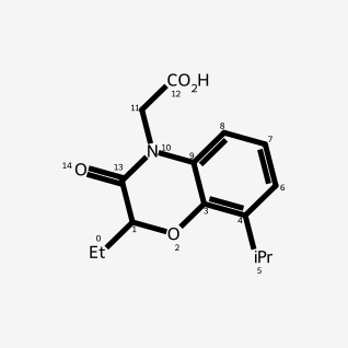 CCC1Oc2c(C(C)C)cccc2N(CC(=O)O)C1=O